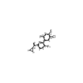 C=C(c1ccc(F)c(-c2cc(Cl)c(F)cc2F)n1)C1CC1